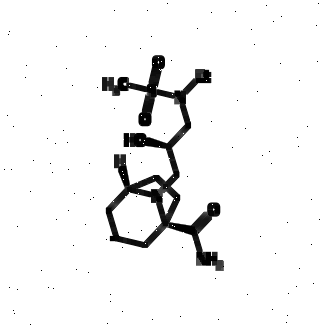 CCN(C[C@H](O)CN1[C@@H]2C[CH]C[C@@]1(C(N)=O)CC2)S(C)(=O)=O